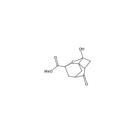 COC(=O)C12CC3CC4(C1)C(CC4(O)C2)C3=O